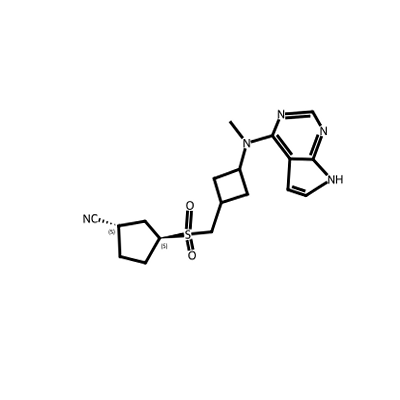 CN(c1ncnc2[nH]ccc12)C1CC(CS(=O)(=O)[C@H]2CC[C@H](C#N)C2)C1